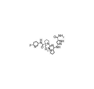 C[C@@]1(C(=O)Nc2ccc(F)nc2)CCCN1c1nc(Nc2cc(C(N)=O)[nH]n2)c2cccn2n1